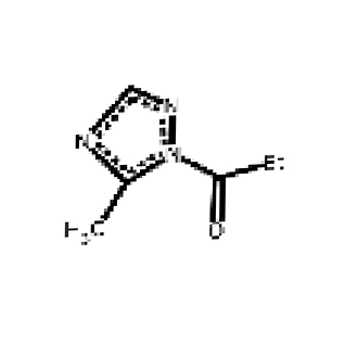 CCC(=O)n1ncnc1C